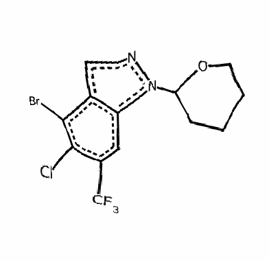 FC(F)(F)c1cc2c(cnn2C2CCCCO2)c(Br)c1Cl